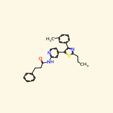 CCCc1nc(-c2cccc(C)c2)c(-c2ccnc(NC(=O)CCc3ccccc3)c2)s1